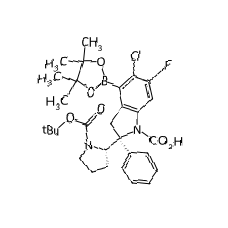 CC(C)(C)OC(=O)N1CCC[C@H]1[C@@]1(c2ccccc2)Cc2c(cc(F)c(Cl)c2B2OC(C)(C)C(C)(C)O2)N1C(=O)O